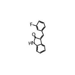 O=C1Nc2ccccc2/C1=C/c1cccc(F)c1